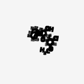 COc1ccc(C[C@@H]2C(=O)N(C34CC5CC(CC(C5)C3)C4)C[C@H]2O)c(Cl)c1